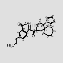 CCCc1ccc(NC(=O)C2CC3(CCCCCC3)C(n3ccnc3)NN2)c(C(=O)O)c1